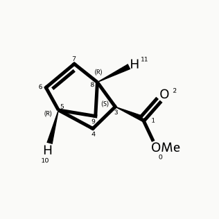 COC(=O)[C@H]1C[C@@H]2C=C[C@H]1C2